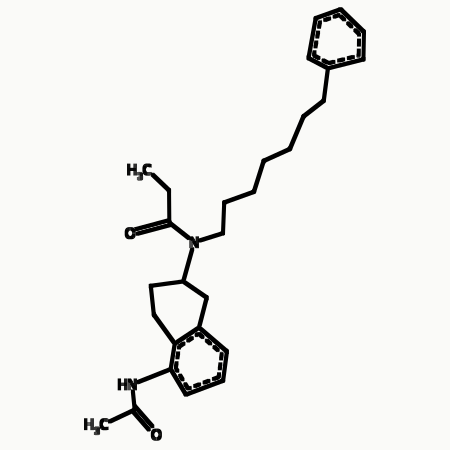 CCC(=O)N(CCCCCCCc1ccccc1)C1CCc2c(cccc2NC(C)=O)C1